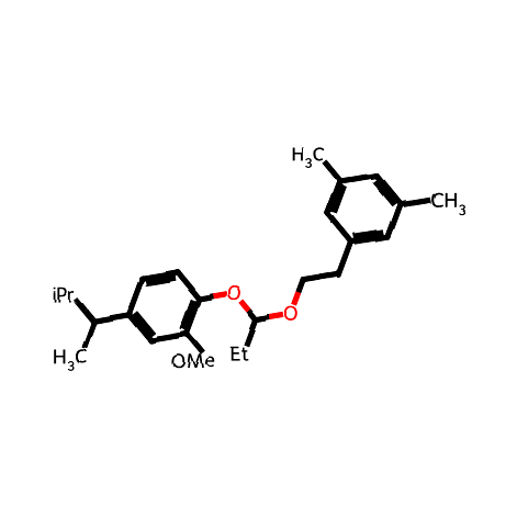 CCC(OCCc1cc(C)cc(C)c1)Oc1ccc(C(C)C(C)C)cc1OC